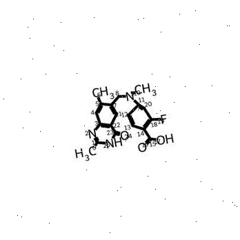 Cc1nc2cc(C)c(CN(C)c3ccc(C(=O)O)c(F)c3)cc2c(=O)[nH]1